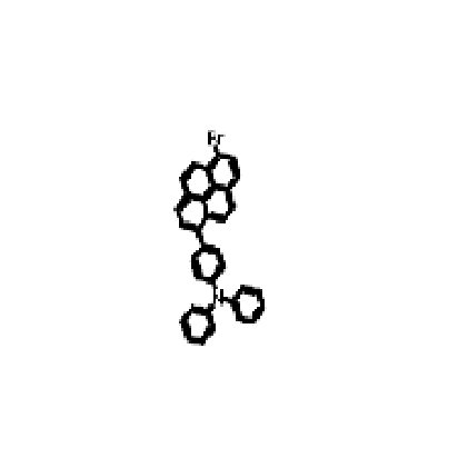 Brc1ccc2ccc3c(-c4ccc(N(c5ccccc5)c5ccccc5)cc4)ccc4ccc1c2c43